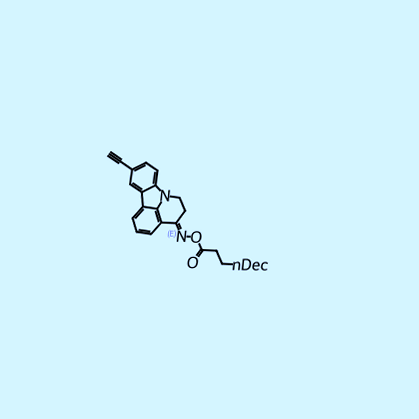 C#Cc1ccc2c(c1)c1cccc3c1n2CC/C3=N\OC(=O)CCCCCCCCCCCC